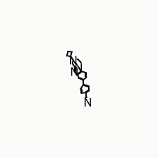 N#Cc1ccc(-c2ccc3c(c2)nc2n3CCN(C3CCC3)C2)cc1